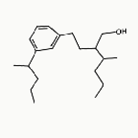 CCCC(C)c1cccc(CCC(CO)C(C)CCC)c1